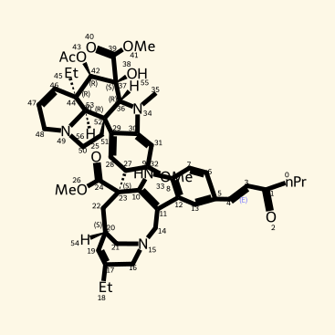 CCCC(=O)/C=C/c1ccc2[nH]c3c(c2c1)CN1CC(CC)=C[C@@H](C1)C[C@]3(C(=O)OC)C1C=C2C(=CC1OC)N(C)[C@H]1[C@@](O)(C(=O)OC)[C@H](OC(C)=O)[C@]3(CC)C=CCN4CC[C@]21[C@@H]43